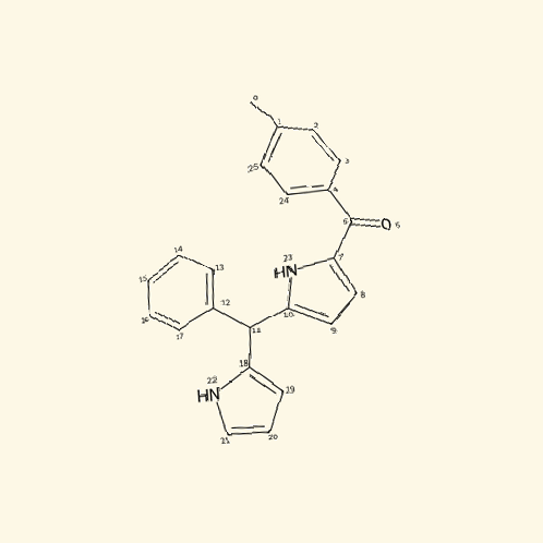 Cc1ccc(C(=O)c2ccc(C(c3ccccc3)c3ccc[nH]3)[nH]2)cc1